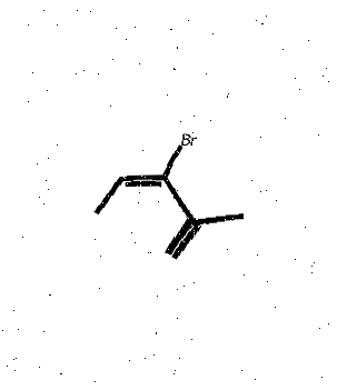 C=C(C)/C(Br)=C\C